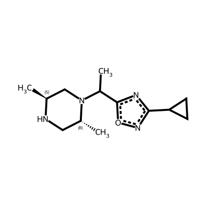 CC(c1nc(C2CC2)no1)N1C[C@H](C)NC[C@H]1C